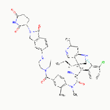 COc1cc(C(=O)N2CCN(c3ccc4c(c3)CN(C3CCC(=O)NC3=O)C4=O)CC2)ccc1N(C)C(=O)[C@@H]1N[C@@H](CC(C)(C)C)[C@@]2(CNc3cc(C(F)(F)F)ncc32)[C@H]1c1cccc(Cl)c1F